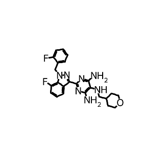 Nc1nc(-c2nn(Cc3ccccc3F)c3c(F)cccc23)nc(N)c1NCC1CCOCC1